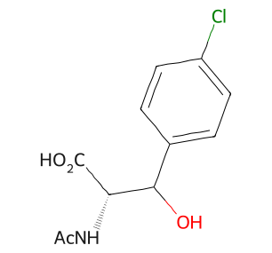 CC(=O)N[C@H](C(=O)O)C(O)c1ccc(Cl)cc1